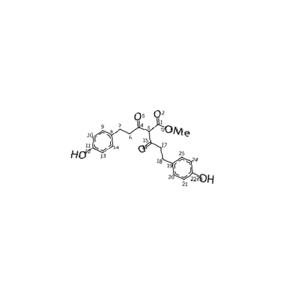 COC(=O)C(C(=O)CCc1ccc(O)cc1)C(=O)CCc1ccc(O)cc1